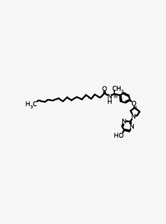 CCCCCCCCCCCCCCCC(=O)N[C@@H](C)c1ccc(O[C@@H]2CCN(c3ncc(O)cn3)C2)cc1